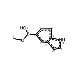 COB(O)c1ccc2[nH]ccc2c1